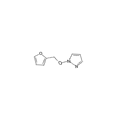 [c]1ccn(OCc2ccco2)n1